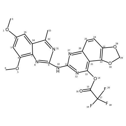 COc1cc(OC)c2nc(Nc3nc(OC(=O)C(F)(F)F)c4c5c(ccc4n3)OCO5)nc(C)c2c1